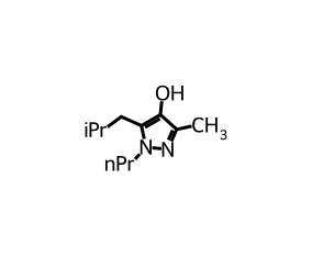 CCCn1nc(C)c(O)c1CC(C)C